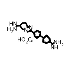 CC(=O)O.N=C(N)c1ccc(-c2ccc(-c3cn4c(n3)CCC(C(=N)N)C4)cc2)cc1